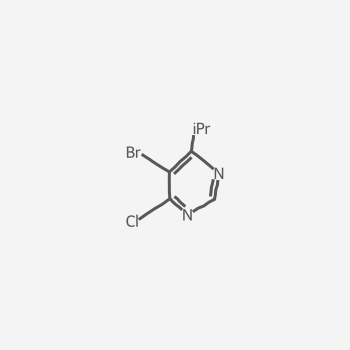 CC(C)c1ncnc(Cl)c1Br